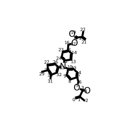 C=C(C)C(=O)OCc1ccc(N(c2ccc(COC(=O)C(=C)C)cc2)c2ccc(C)c(C)c2)cc1